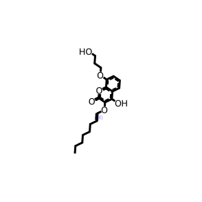 CCCCCC/C=C/Oc1c(O)c2cccc(OCCCO)c2oc1=O